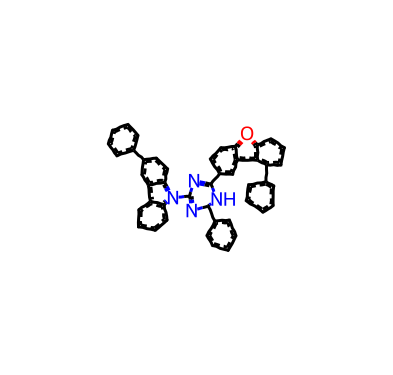 c1ccc(-c2ccc3c(c2)c2ccccc2n3C2=NC(c3ccccc3)NC(c3ccc4oc5cccc(-c6ccccc6)c5c4c3)=N2)cc1